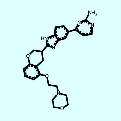 Nc1nccc(-c2ccc3[nH]c(C4COc5cccc(OCCN6CCOCC6)c5C4)nc3c2)n1